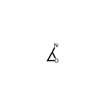 [N]C1CO1